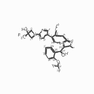 Cc1nc2cc(F)c(-c3cnc(N4CC(O)(C(F)(F)F)C4)nc3)cn2c1C(O)c1ccccc1OC(F)F